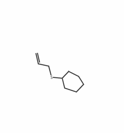 C=CCSC1[CH]CCCC1